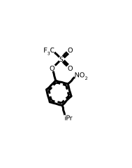 CC(C)c1ccc(OS(=O)(=O)C(F)(F)F)c([N+](=O)[O-])c1